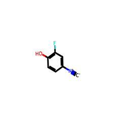 [C-]#[N+]c1ccc(O)c(F)c1